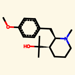 COc1ccc(C[C@@H]2[C@@H](C(C)(C)O)CCCN2C)cc1